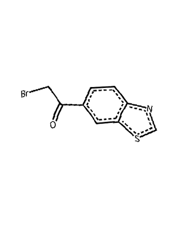 O=C(CBr)c1ccc2ncsc2c1